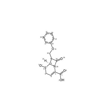 O=C(O)C1=CC[S+]([O-])[C@H]2C(COc3cccnc3)C(=O)N12